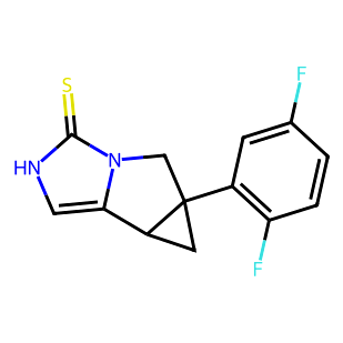 Fc1ccc(F)c(C23CC2c2c[nH]c(=S)n2C3)c1